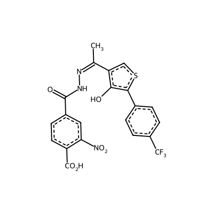 C/C(=N/NC(=O)c1ccc(C(=O)O)c([N+](=O)[O-])c1)c1csc(-c2ccc(C(F)(F)F)cc2)c1O